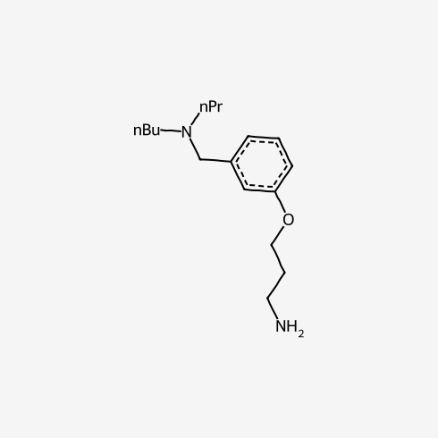 CCCCN(CCC)Cc1cccc(OCCCN)c1